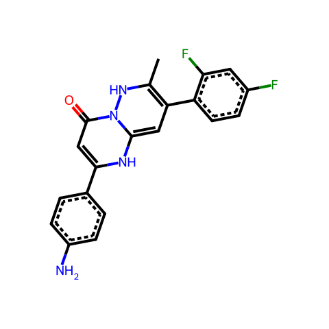 CC1=C(c2ccc(F)cc2F)C=C2NC(c3ccc(N)cc3)=CC(=O)N2N1